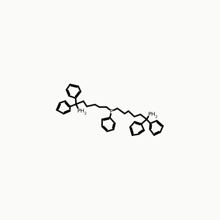 PC(CCCCCP(CCCCCC(P)(c1ccccc1)c1ccccc1)c1ccccc1)(c1ccccc1)c1ccccc1